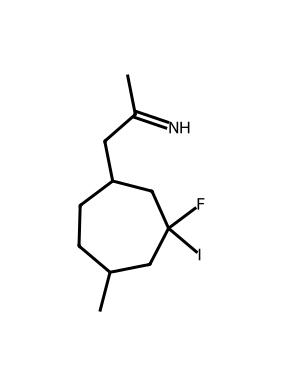 CC(=N)CC1CCC(C)CC(F)(I)C1